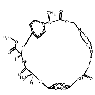 COC(=O)[C@@H]1Cc2ccc(cc2)N(C)C(=O)CCN2CCN(CCC(=O)Nc3ccc(cc3)C[C@@H](N)C(=O)N1)CC2